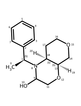 C[C@@H](c1ccccc1)N1C(O)CO[C@@H]2COCC[C@@H]21